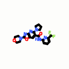 O=C(Nc1cccc(C(F)F)n1)c1cc2oc(N3CCOCC3)nc2nc1N1CCCC1